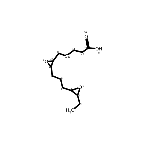 CCC1OC1CCCC1OC1CSCCC(=O)O